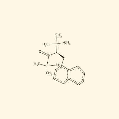 CC(C)(C)C(=O)[C@H](Cc1cccc2ccccc12)C(C)(C)C